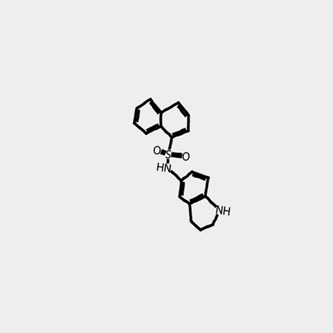 O=S(=O)(Nc1ccc2c(c1)CCCN2)c1cccc2ccccc12